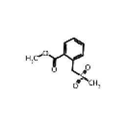 COC(=O)c1ccccc1CS(C)(=O)=O